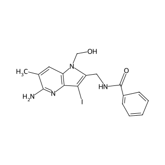 Cc1cc2c(nc1N)c(I)c(CNC(=O)c1ccccc1)n2CO